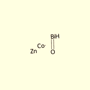 [Co].[O]=[BiH].[Zn]